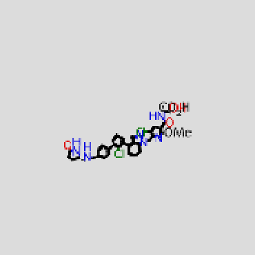 COc1nc(Cn2ncc3c(-c4cccc(-c5ccc(CNC[C@@H]6CCC(=O)N6)cc5)c4Cl)cccc32)c(Cl)cc1C(=O)N[C@@H](CO)C(=O)O